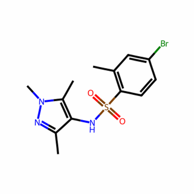 Cc1cc(Br)ccc1S(=O)(=O)Nc1c(C)nn(C)c1C